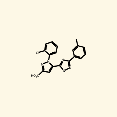 Cc1cccc(-c2nsc(-c3cc(C(=O)O)nn3-c3ccccc3Cl)n2)c1